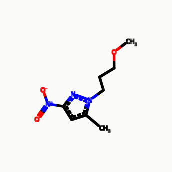 COCCCn1nc([N+](=O)[O-])cc1C